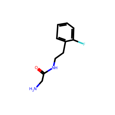 NCC(=O)NCCc1ccccc1F